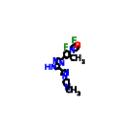 Cc1cc(-c2cnc3[nH]cc(-c4cnn(C5CCN(C)CC5)c4)c3n2)cc(F)c1N1CCOC(F)C1